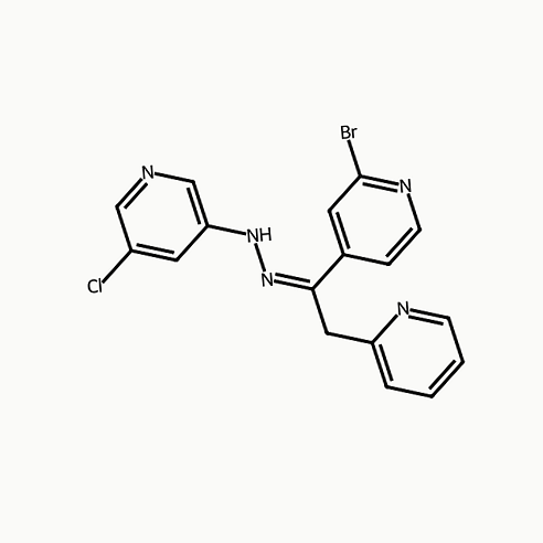 Clc1cncc(N/N=C(/Cc2ccccn2)c2ccnc(Br)c2)c1